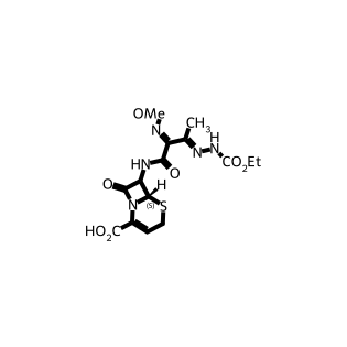 CCOC(=O)NN=C(C)C(=NOC)C(=O)NC1C(=O)N2C(C(=O)O)=CCS[C@@H]12